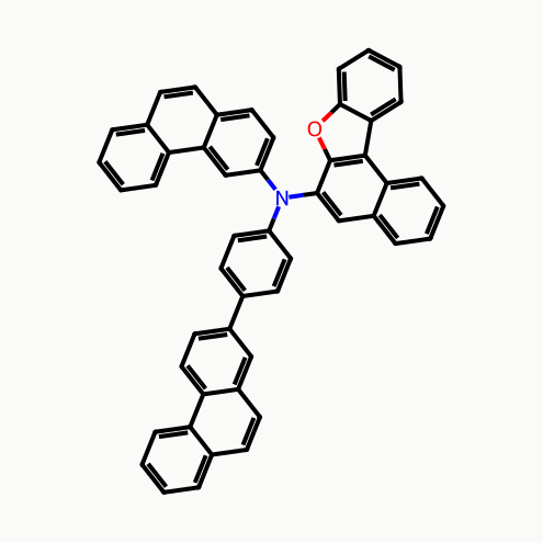 c1ccc2c(c1)ccc1cc(-c3ccc(N(c4ccc5ccc6ccccc6c5c4)c4cc5ccccc5c5c4oc4ccccc45)cc3)ccc12